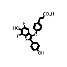 O=C(O)C=Cc1ccc(Oc2c(-c3ccc(O)cc3)sc3c(F)c(O)c(F)cc23)cc1